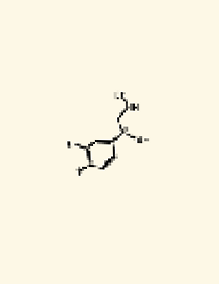 CCNC[C@@H](C(C)=O)c1ccc(Cl)c(Cl)c1